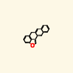 c1ccc2cc3c(cc2c1)Cc1cccc2occ-3c12